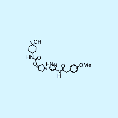 COc1ccc(CC(=O)Nc2cc([C@@H]3CC[C@H](OC(=O)NC4CCC(C)(O)CC4)C3)[nH]n2)cc1